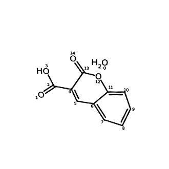 O.O=C(O)c1cc2ccccc2oc1=O